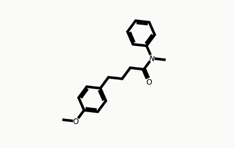 COc1ccc(CCCC(=O)N(C)c2ccccc2)cc1